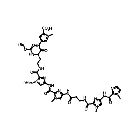 CCCCCCn1cc(NC(=O)c2nc(NC(=O)CCNC(=O)c3nc(NC(=O)c4nccn4C)cn3C)cn2C)nc1C(=O)NCC[C@@H](NC(=O)OC(C)(C)C)C(=O)Nc1cc(C(=O)O)n(C)c1